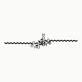 CCCCCCCCCCCCCCCCCC(=O)OCC[N+](CC(O)C[N+](CCOC(=O)CCCCCCCCCCCCCCCCC)(C(C)O)C(C)O)(C(C)O)C(C)O